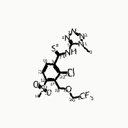 Cn1nnnc1NC(=S)c1ccc(S(C)(=O)=O)c(COCC(F)(F)F)c1Cl